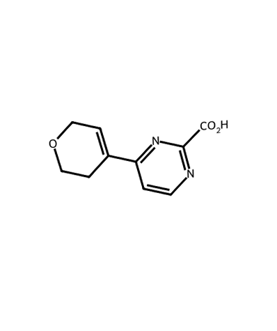 O=C(O)c1nccc(C2=CCOCC2)n1